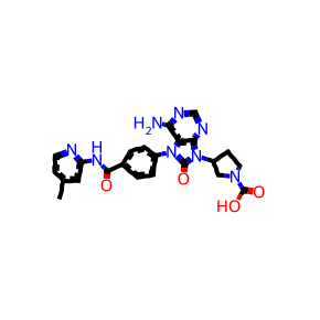 Cc1ccnc(NC(=O)c2ccc(-n3c(=O)n(C4CCN(C(=O)O)C4)c4ncnc(N)c43)cc2)c1